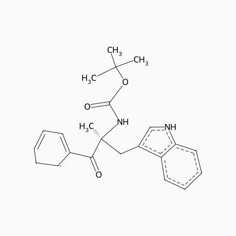 CC(C)(C)OC(=O)N[C@@](C)(Cc1c[nH]c2ccccc12)C(=O)C1=CC=CC[CH]1